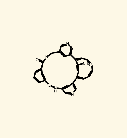 Cc1cc2cccnccc1-c1cncc(c1)CNC(=O)c1cccc(c1)SNc1cncc-2c1